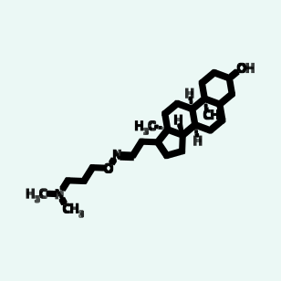 CN(C)CCCON=CCC1CC[C@H]2[C@@H]3CCC4CC(O)CC[C@]4(C)[C@@H]3CC[C@]12C